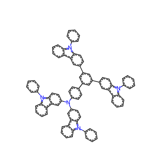 c1ccc(-n2c3ccccc3c3cc(-c4cc(-c5ccc(N(c6ccc7c(c6)c6ccccc6n7-c6ccccc6)c6ccc7c(c6)c6ccccc6n7-c6ccccc6)cc5)cc(-c5ccc6c(c5)c5ccccc5n6-c5ccccc5)c4)ccc32)cc1